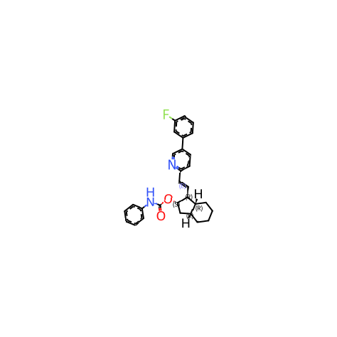 O=C(Nc1ccccc1)O[C@H]1C[C@H]2CCCC[C@H]2[C@@H]1/C=C/c1ccc(-c2cccc(F)c2)cn1